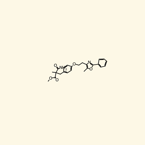 COC(=O)C(C)(Cc1ccc(OCCc2nc(-c3ccccc3)oc2C)cc1)C(N)=O